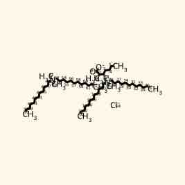 C=C(CCCCC)C(=O)[O-].CCCCCCCCCCCC[N+](C)(C)CCCCCCCCCCCC.CCCCCCCCCCCC[N+](C)(C)CCCCCCCCCCCC.[Cl-]